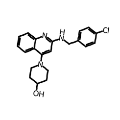 OC1CCN(c2cc(NCc3ccc(Cl)cc3)nc3ccccc23)CC1